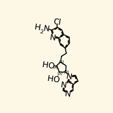 Nc1nc2cc(CC[C@H]3C[C@@H](n4ccc5cncnc54)[C@H](O)[C@@H]3O)ccc2cc1Cl